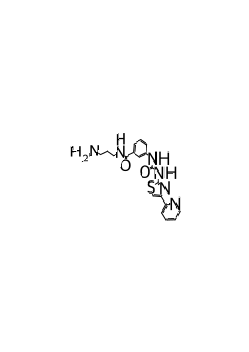 NCCCNC(=O)c1cccc(NC(=O)Nc2nc(-c3ccccn3)cs2)c1